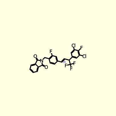 O=C1c2ccccc2C(=O)N1Cc1ccc(/C=C/C(c2cc(Cl)c(F)c(Cl)c2)C(F)(F)F)cc1F